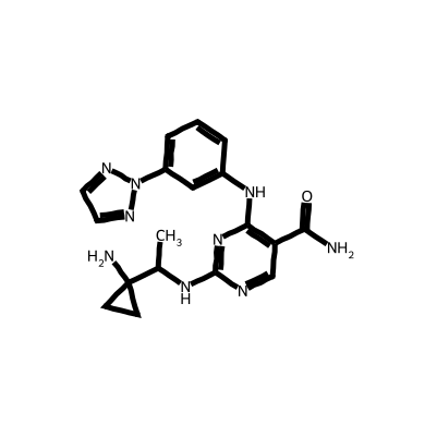 CC(Nc1ncc(C(N)=O)c(Nc2cccc(-n3nccn3)c2)n1)C1(N)CC1